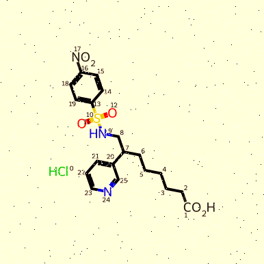 Cl.O=C(O)CCCCCC(CNS(=O)(=O)c1ccc([N+](=O)[O-])cc1)c1cccnc1